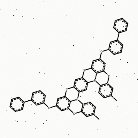 Cc1ccc2c(c1)Oc1cc(Oc3cccc(-c4ccccc4)c3)cc3c1B2c1cc2c(cc1S3)Sc1cc(Oc3cccc(-c4ccccc4)c3)cc3c1B2c1ccc(C)cc1O3